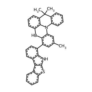 Cc1cc(-c2cccc3c2[nH]c2sc4ccccc4c23)c2c(c1)N1c3ccccc3C(C)(C)c3cccc(c31)B2